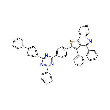 c1ccc(-c2ccc(-c3nc(-c4ccccc4)nc(-c4ccc(-c5sc6c(c(-c7ccccc7)nc7ccccc76)c5-c5ccccc5)cc4)n3)cc2)cc1